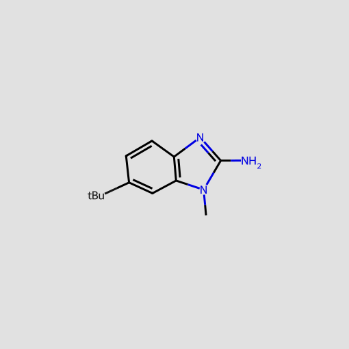 Cn1c(N)nc2ccc(C(C)(C)C)cc21